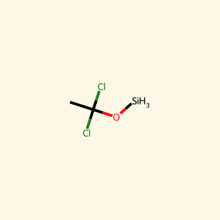 CC(Cl)(Cl)O[SiH3]